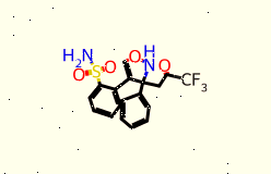 NS(=O)(=O)c1ccccc1C1=CONC1(CC(=O)C(F)(F)F)c1ccccc1